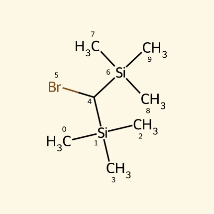 C[Si](C)(C)C(Br)[Si](C)(C)C